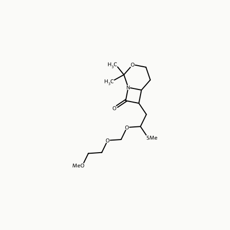 COCCOCOC(CC1C(=O)N2C1CCOC2(C)C)SC